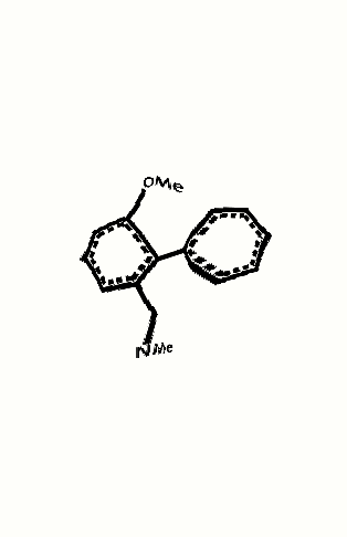 CNCc1cccc(OC)c1-c1ccccc1